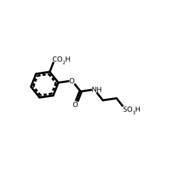 O=C(NCCS(=O)(=O)O)Oc1ccccc1C(=O)O